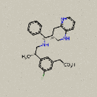 C[C@H](CN[C@H](c1ccccc1)[C@H]1CNc2cccnc2C1)c1cc(F)cc(CC(=O)O)c1